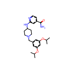 CC(C)Oc1cc(CN2CCC(Nc3cc(C(N)=O)ccn3)CC2)cc(OC(C)C)c1